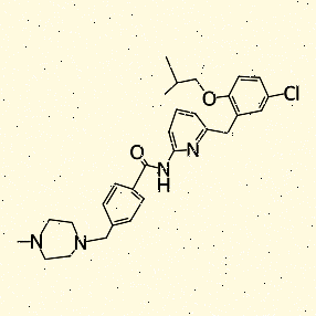 CC(C)COc1ccc(Cl)cc1Cc1cccc(NC(=O)c2ccc(CN3CCN(C)CC3)cc2)n1